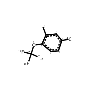 Cc1cc(Cl)ccc1OC(F)(F)F